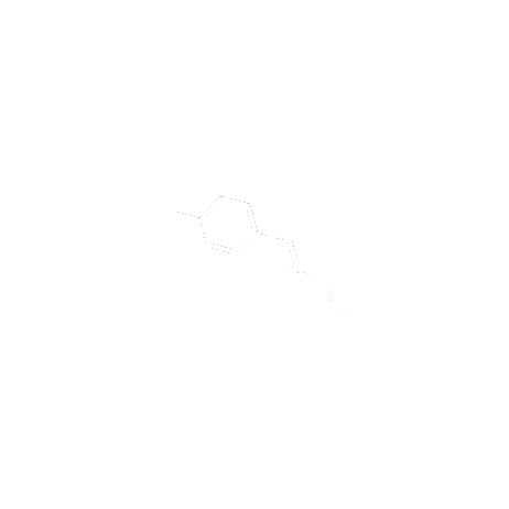 CC(C)(C)[S+]([O-])/N=C/c1ccc(C(F)(F)F)cc1